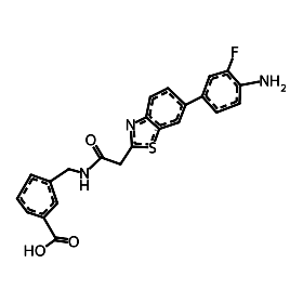 Nc1ccc(-c2ccc3nc(CC(=O)NCc4cccc(C(=O)O)c4)sc3c2)cc1F